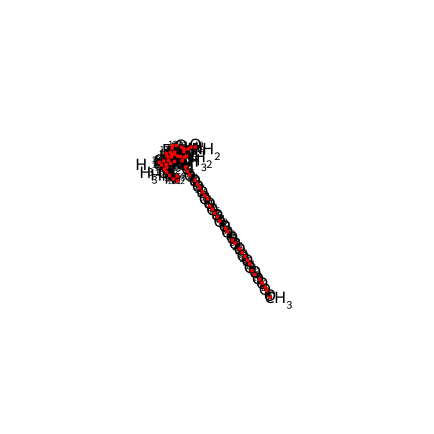 COCCOCCOCCOCCOCCOCCOCCOCCOCCOCCOCCOCCOCCOCCOCCOCCOCCOCCOCCOCCOCCOCCOCCOCCOCCCc1c(CC2(OCCCc3sc(N4CCCc5c4nnc(Nc4nc6ccccc6s4)c5C)nc3C(=O)O)C=CC(C#CCN(C)C)=CC2F)cccc1NC(=O)[C@H](CCCNC(N)=O)NC(=O)[C@@H](N)C(C)C